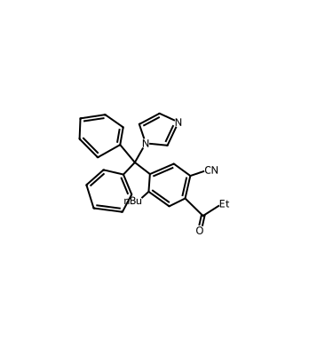 CCCCc1cc(C(=O)CC)c(C#N)cc1C(c1ccccc1)(c1ccccc1)n1ccnc1